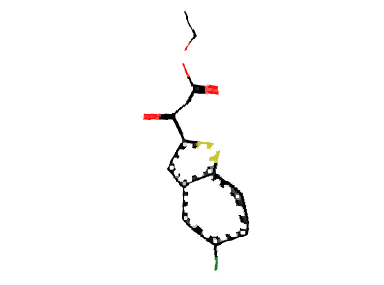 CCOC(=O)C(=O)c1cc2cc(Cl)ccc2s1